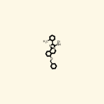 CCNc1c(-c2ccccc2C)nc2c3cccc(OCc4ccccc4)c3ccn12